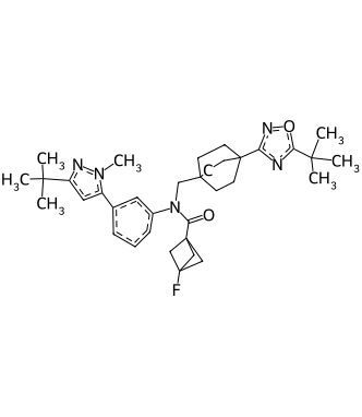 Cn1nc(C(C)(C)C)cc1-c1cccc(N(CC23CCC(c4noc(C(C)(C)C)n4)(CC2)CC3)C(=O)C23CC(F)(C2)C3)c1